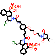 CC1CC(=O)N(CCOCCOc2cc(/C=C/C(=O)N3C[C@@H](CCl)c4c3cc(OP(=O)(O)O)c3ccccc43)ccc2/C=C/C(=O)N2C[C@@H](CCl)c3c2cc(OP(=O)(O)O)c2ccccc32)C1=O